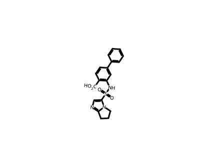 O=C(O)c1ccc(-c2ccccc2)cc1NS(=O)(=O)c1cnc2n1CCC2